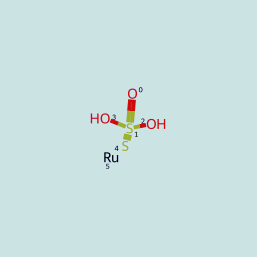 O=S(O)(O)=S.[Ru]